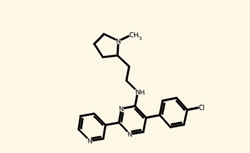 CN1CCCC1CCNc1nc(-c2cccnc2)ncc1-c1ccc(Cl)cc1